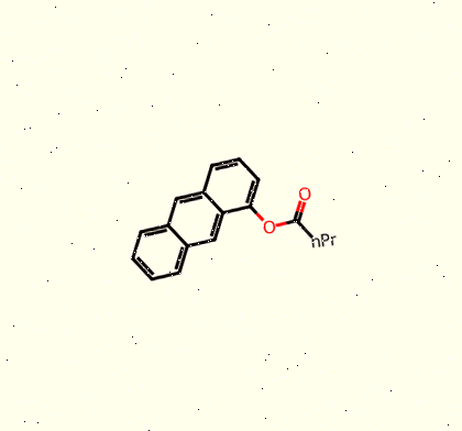 CCCC(=O)Oc1cccc2cc3ccccc3cc12